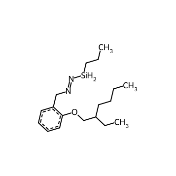 CCCCC(CC)COc1ccccc1CN=N[SiH2]CCC